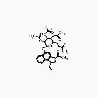 CC(=O)OC[C@H]1O[C@@H](Oc2cc3c(c4ccccc24)[C@H](CCl)CN3C(C)=O)[C@H](OC(C)=O)[C@@H](OC(C)=O)[C@H]1OC(C)=O